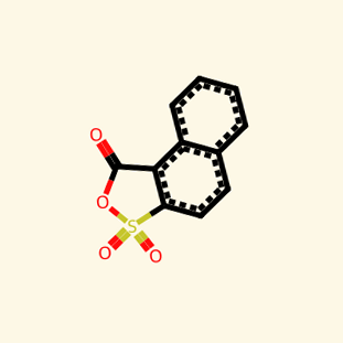 O=C1OS(=O)(=O)c2ccc3ccccc3c21